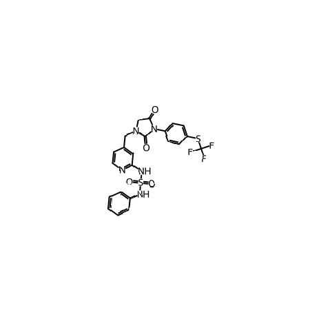 O=C1CN(Cc2ccnc(NS(=O)(=O)Nc3ccccc3)c2)C(=O)N1c1ccc(SC(F)(F)F)cc1